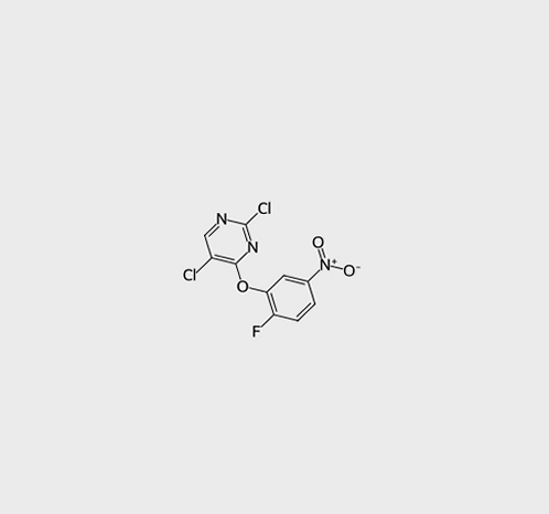 O=[N+]([O-])c1ccc(F)c(Oc2nc(Cl)ncc2Cl)c1